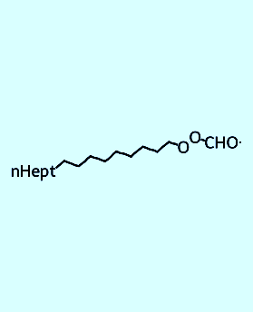 CCCCCCCCCCCCCCCCOO[C]=O